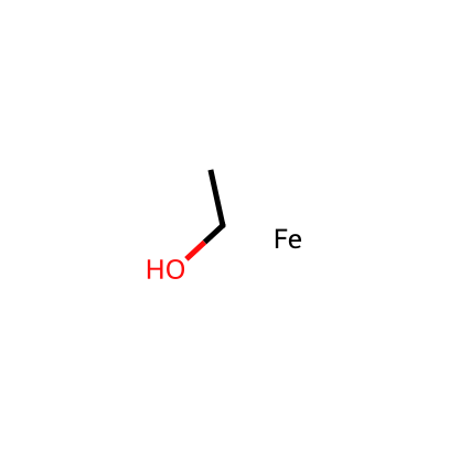 CCO.[Fe]